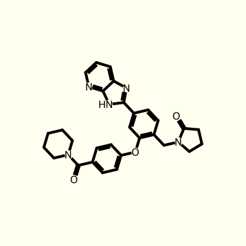 O=C1CCCN1Cc1ccc(-c2nc3cccnc3[nH]2)cc1Oc1ccc(C(=O)N2CCCCC2)cc1